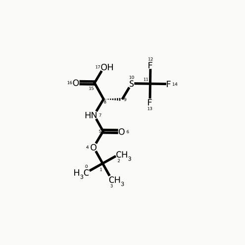 CC(C)(C)OC(=O)N[C@@H](CSC(F)(F)F)C(=O)O